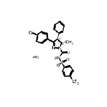 C[C@H]1[C@H](c2ccccc2)C(c2ccc(Cl)cc2)=NN1C(=O)NS(=O)(=O)c1ccc(C(F)(F)F)cc1.Cl